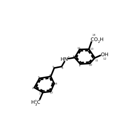 Cc1ccc(CCNc2ccc(O)c(C(=O)O)c2)cc1